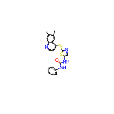 Cc1cc2nccc(Sc3ncc(NC(=O)Nc4ccccc4)s3)c2cc1C